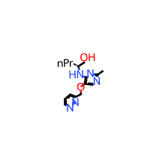 CCC[C@@H](CO)Nc1nc(C)ncc1OCc1cccnn1